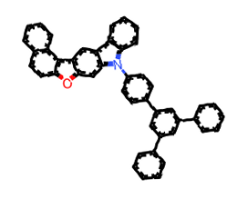 c1ccc(-c2cc(-c3ccccc3)cc(-c3ccc(-n4c5ccccc5c5cc6c(cc54)oc4ccc5ccccc5c46)cc3)c2)cc1